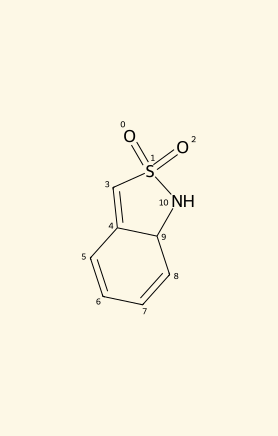 O=S1(=O)C=C2C=CC=CC2N1